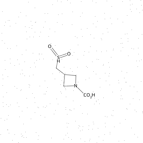 O=C(O)N1CC(C[SH](=O)=O)C1